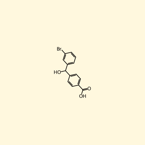 O=C(O)c1ccc(C(O)c2cccc(Br)c2)cc1